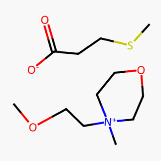 COCC[N+]1(C)CCOCC1.CSCCC(=O)[O-]